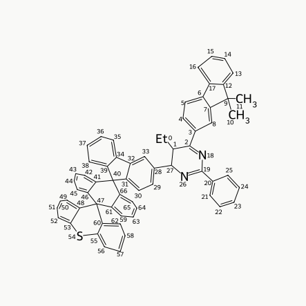 CCC1C(c2ccc3c(c2)C(C)(C)c2ccccc2-3)=NC(c2ccccc2)=NC1c1ccc2c(c1)-c1ccccc1C21c2ccccc2C2(c3ccccc3Sc3ccccc32)c2ccccc21